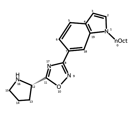 CCCCCCCCn1ccc2ccc(-c3noc([C@@H]4CCCN4)n3)cc21